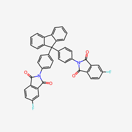 O=C1c2ccc(F)cc2C(=O)N1c1ccc(C2(c3ccc(N4C(=O)c5ccc(F)cc5C4=O)cc3)c3ccccc3-c3ccccc32)cc1